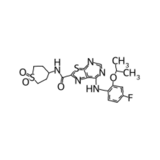 CC(C)Oc1cc(F)ccc1Nc1ncnc2sc(C(=O)NC3CCS(=O)(=O)CC3)nc12